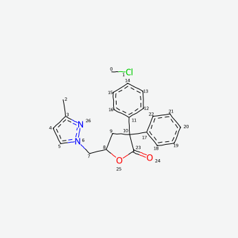 CCl.Cc1ccn(CC2CC(c3ccccc3)(c3ccccc3)C(=O)O2)n1